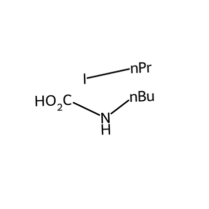 CCCCNC(=O)O.CCCI